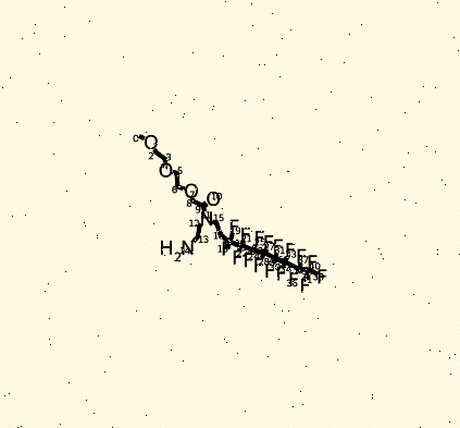 COCCOCCOCC(=O)N(CCN)CCC(F)(F)C(F)(F)C(F)(F)C(F)(F)C(F)(F)C(F)(F)C(F)(F)C(F)(F)F